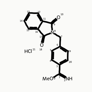 COC(=N)c1ccc(CN2C(=O)c3ccccc3C2=O)cc1.Cl